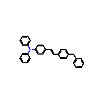 C(=C\c1ccc(N(c2ccccc2)c2ccccc2)cc1)/c1ccc(Cc2ccccc2)cc1